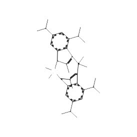 CC1=C2c3c(C(C)C)cc(C(C)C)cc3[CH]1[Zr]([CH3])([CH3])[CH]1C(C)=C(c3c(C(C)C)cc(C(C)C)cc31)C2(C)C